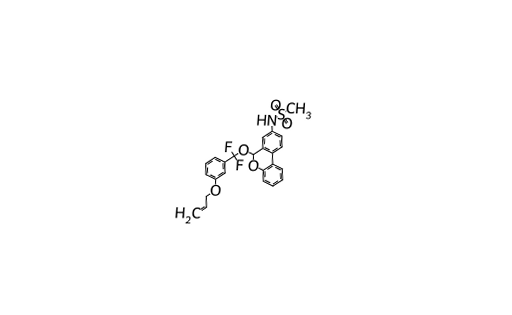 C=CCOc1cccc(C(F)(F)OC2Oc3ccccc3-c3ccc(NS(C)(=O)=O)cc32)c1